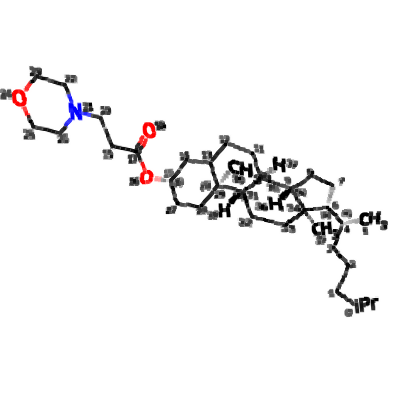 CC(C)CCC[C@@H](C)[C@H]1CC[C@H]2[C@@H]3CCC4C[C@@H](OC(=O)CCN5CCOCC5)CC[C@]4(C)[C@H]3CCC12C